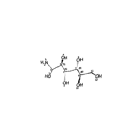 NC(O)[C@@H](O)[C@@H](O)[C@H](O)[C@H](O)CO